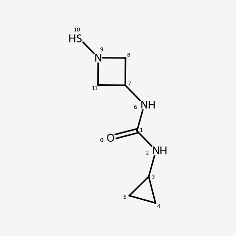 O=C(NC1CC1)NC1CN(S)C1